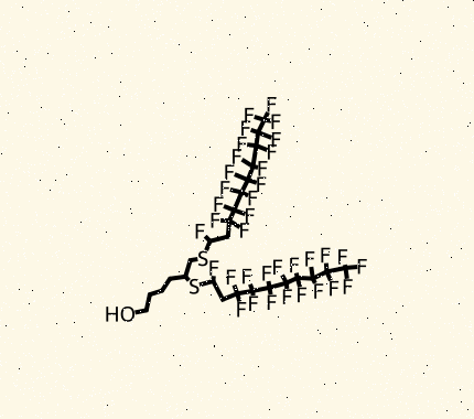 OCCCCC(CSC(F)CC(F)(F)C(F)(F)C(F)(F)C(F)(F)C(F)(F)C(F)(F)C(F)(F)C(F)(F)F)SC(F)CC(F)(F)C(F)(F)C(F)(F)C(F)(F)C(F)(F)C(F)(F)C(F)(F)C(F)(F)F